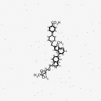 Cn1c(CN2CCC(c3ccc(C(=O)O)cc3)CC2)cc2c(-c3ccc4c(cnn4COCC[Si](C)(C)C)c3)ccnc21